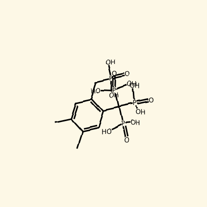 Cc1cc(CP(=O)(O)O)c(C(P(=O)(O)O)(P(=O)(O)O)P(=O)(O)O)cc1C